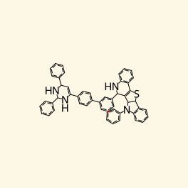 C1=C(c2ccc(-c3cccc(C4Nc5ccccc5C5=C4C4C(S5)c5ccccc5N4c4ccccc4)c3)cc2)NC(c2ccccc2)NC1c1ccccc1